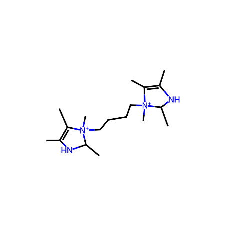 CC1=C(C)[N+](C)(CCCC[N+]2(C)C(C)=C(C)NC2C)C(C)N1